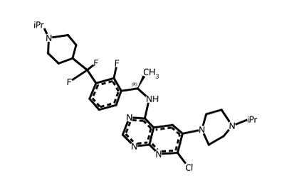 CC(C)N1CCC(C(F)(F)c2cccc([C@@H](C)Nc3ncnc4nc(Cl)c(N5CCN(C(C)C)CC5)cc34)c2F)CC1